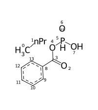 CCCC.O=C(O[PH](=O)O)c1ccccc1